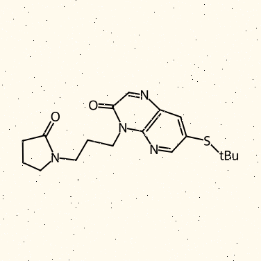 CC(C)(C)Sc1cnc2c(c1)ncc(=O)n2CCCN1CCCC1=O